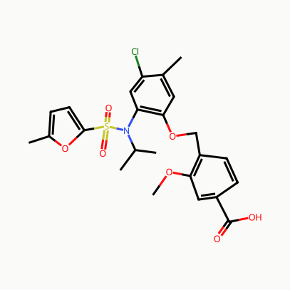 COc1cc(C(=O)O)ccc1COc1cc(C)c(Cl)cc1N(C(C)C)S(=O)(=O)c1ccc(C)o1